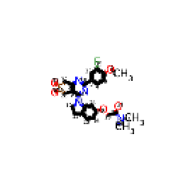 COc1ccc(-c2nc3c(c(N4CCc5ccc(OCC(=O)N(C)C)cc54)n2)CS(=O)(=O)C3)cc1F